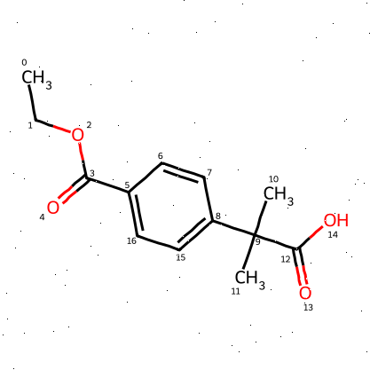 CCOC(=O)c1ccc(C(C)(C)C(=O)O)cc1